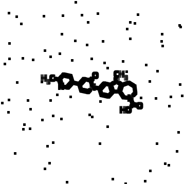 Cc1ccc(-c2ccn(-c3ccc4c5c(n(C)c4c3)CCCN(C(=O)O)C5)c(=O)c2)cn1